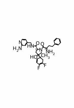 CC1([C@]2(O)C[C@@H](C(=O)NCc3ccnc(N)c3)N(C(=O)[C@H](N)CCc3ccccc3)C2)C=CC(F)=C(F)C1